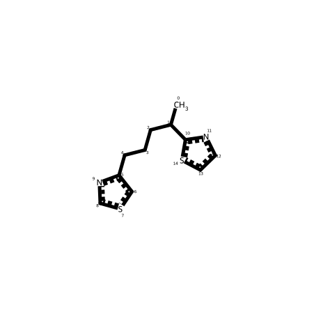 CC(CCCc1cscn1)c1nccs1